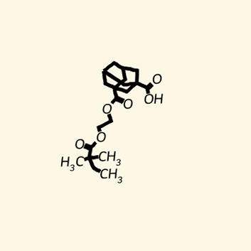 CCC(C)(C)C(=O)OCCOC(=O)C12CC3CC(CC(C(=O)O)(C3)C1)C2